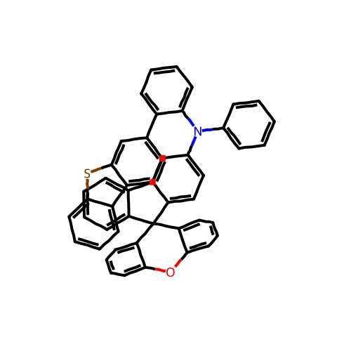 c1ccc(N(c2ccc3c(c2)-c2ccccc2C32c3ccccc3Oc3ccccc32)c2ccccc2-c2ccc3c(c2)sc2ccccc23)cc1